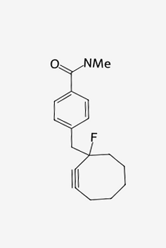 CNC(=O)c1ccc(CC2(F)C#CCCCCC2)cc1